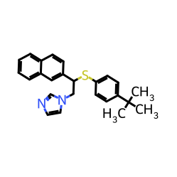 CC(C)(C)c1ccc(SC(Cn2ccnc2)c2ccc3ccccc3c2)cc1